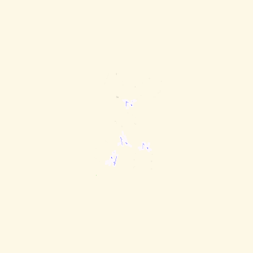 Clc1cccc(N(c2ccc(-n3c4ccccc4c4ccccc43)cc2)c2ccccn2)n1